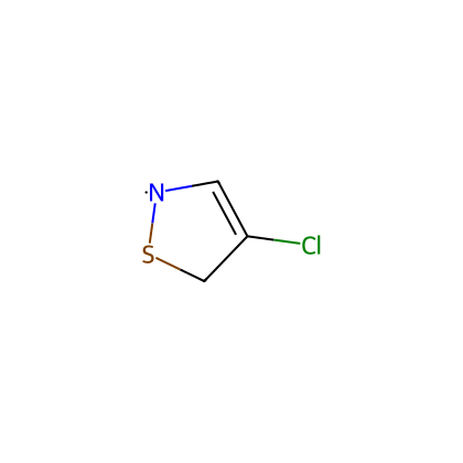 ClC1=C[N]SC1